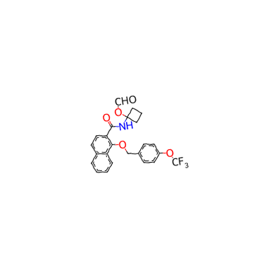 O=COC1(NC(=O)c2ccc3ccccc3c2OCc2ccc(OC(F)(F)F)cc2)CCC1